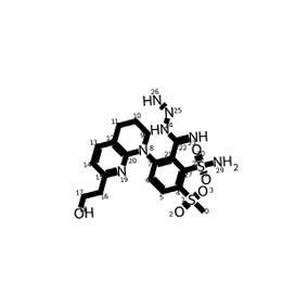 CS(=O)(=O)c1ccc(N2CCCc3ccc(CCO)nc32)c(C(=N)NN=N)c1S(N)(=O)=O